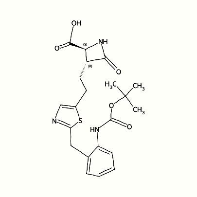 CC(C)(C)OC(=O)Nc1ccccc1Cc1ncc(CC[C@H]2C(=O)N[C@@H]2C(=O)O)s1